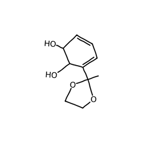 CC1(C2=CC=CC(O)C2O)OCCO1